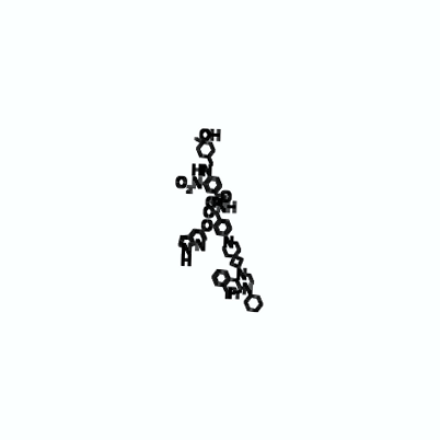 CC(C)c1ccccc1C1CN(C2CCCCC2)CCN1C1CC2(CCN(c3ccc(C(=O)NS(=O)(=O)c4ccc(NCC5CCC(C)(O)CC5)c([N+](=O)[O-])c4)c(Oc4cnc5[nH]ccc5c4)c3)CC2)C1